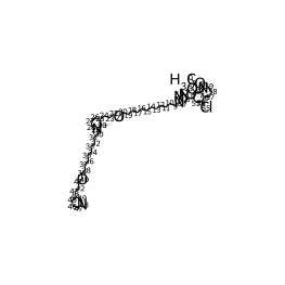 CC(=O)Oc1c(-c2cn(CCCCCCCCCCCCOCCCc3ccc[n+](CCCCCCCCCCOCCCc4cccnc4)c3)nn2)cc(Cl)c2cccnc12